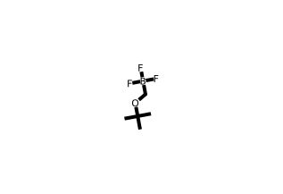 CC(C)(C)OC[B-](F)(F)F